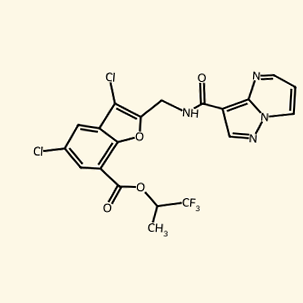 CC(OC(=O)c1cc(Cl)cc2c(Cl)c(CNC(=O)c3cnn4cccnc34)oc12)C(F)(F)F